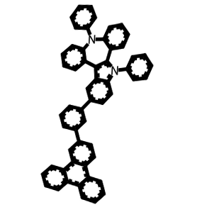 c1ccc(N2c3ccccc3-c3c(n(-c4ccccc4)c4ccc(-c5cccc(-c6ccc7c8ccccc8c8ccccc8c7c6)c5)cc34)-c3ccccc32)cc1